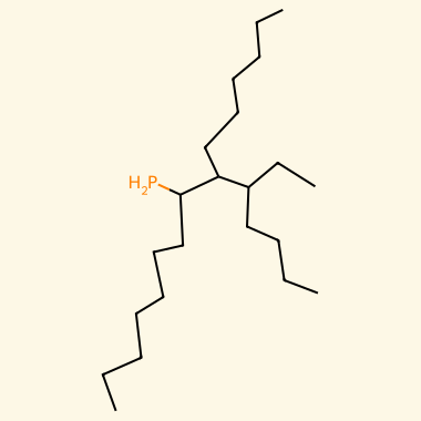 CCCCCCCC(P)C(CCCCCC)C(CC)CCCC